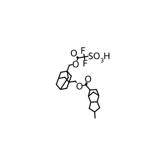 CC1CC2C3CC(C(=O)OCC45CC6CC(C4)CC(COC(=O)C(F)(F)S(=O)(=O)O)(C6)C5)C(C3)C2C1